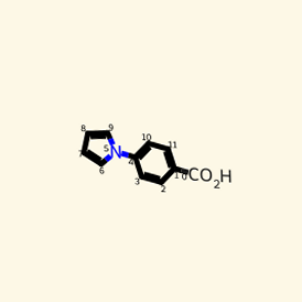 O=C(O)c1ccc(-n2cccc2)cc1